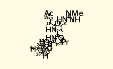 CNC(=N)NCCC[C@H](NC(=O)CCCC(C)=O)C(=O)N[C@@H](CC(C)C)B1O[C@@H]2C[C@@H]3C[C@@H](C3(C)C)[C@]2(C)O1